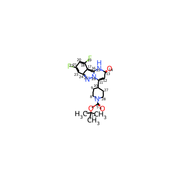 CC(C)(C)OC(=O)N1CCC(c2cc(=O)[nH]c3c4c(F)cc(F)cc4nn23)CC1